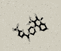 Cn1c(=O)c([N+](=O)[O-])c(N2CCN(C(=O)c3ccc([N+](=O)[O-])o3)CC2)c2ccccc21